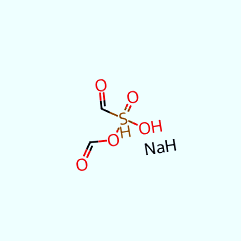 O=CO[SH](=O)(O)C=O.[NaH]